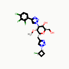 CO[C@@H]1[C@@H](n2cc(-c3ccc(Cl)c(F)c3F)nn2)[C@@H](O)[C@@H](CO)O[C@@H]1Cc1cn([C@@H]2CC[C@H]2F)nn1